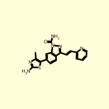 Cc1nc(N)sc1-c1ccc2c(C=Cc3ccccn3)nn(C(N)=O)c2c1